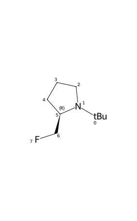 CC(C)(C)N1CCC[C@@H]1CF